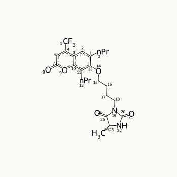 CCCc1cc2c(C(F)(F)F)cc(=O)oc2c(CCC)c1OCCCCN1C(=O)NC(C)C1=O